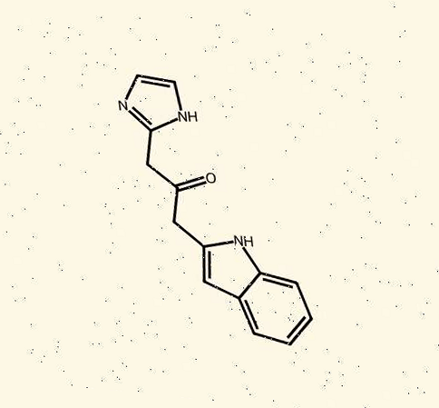 O=C(Cc1cc2ccccc2[nH]1)Cc1ncc[nH]1